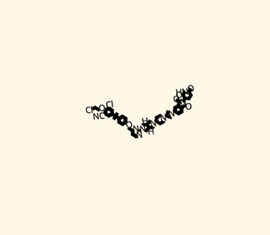 CC(C)(c1ccc(OCc2ccnc(N3C[C@@H]4CN(C5CCN(C6CN(c7ccc8c(c7)C(=O)N(C7CCC(=O)NC7=O)C8=O)C6)CC5)C[C@@H]4C3)n2)cc1)c1cc(Cl)c(OCCCl)c(C#N)c1